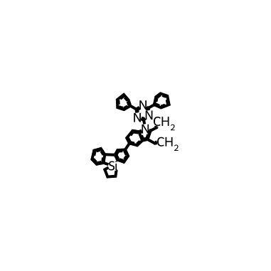 C=Cc1c(C=C)n(-c2nc(-c3ccccc3)nc(-c3ccccc3)n2)c2ccc(-c3ccc4c(c3)-c3ccccc3[Si]43CCCC3)cc12